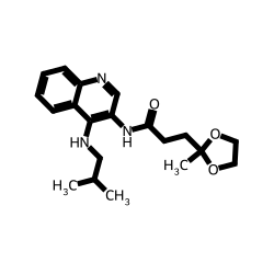 CC(C)CNc1c(NC(=O)CCC2(C)OCCO2)cnc2ccccc12